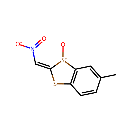 Cc1ccc2c(c1)[S+]([O-])C(=C[N+](=O)[O-])S2